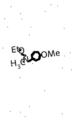 CCOCCN(C)CC1=CC=C(OC)CC=C1